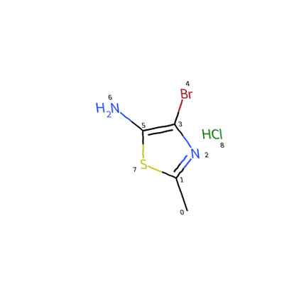 Cc1nc(Br)c(N)s1.Cl